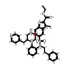 CCOC(=O)c1oc2ccc(S(=O)(=O)N(CCc3ccccc3)c3ccccc3N3CCNCC3Cc3ccncc3)cc2c1C